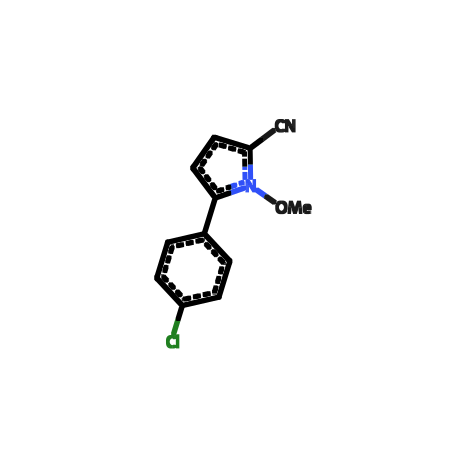 COn1c(C#N)ccc1-c1ccc(Cl)cc1